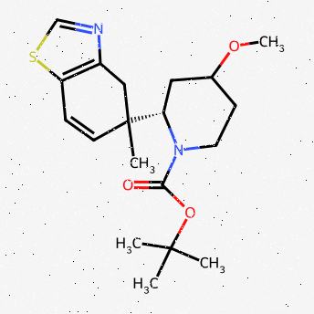 COC1CCN(C(=O)OC(C)(C)C)[C@H](C2(C)C=Cc3scnc3C2)C1